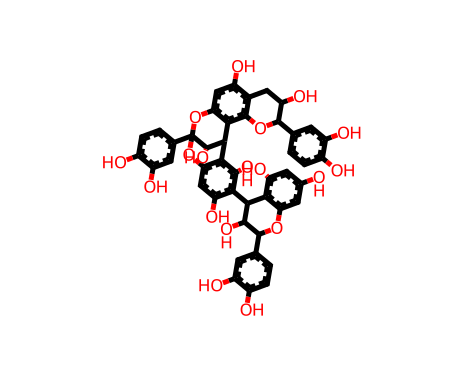 Oc1cc(O)c2c(c1)OC(c1ccc(O)c(O)c1)C(O)C2c1c(O)cc2c(c1O)C1c3c(cc(O)c4c3OC(c3ccc(O)c(O)c3)C(O)C4)OC(c3ccc(O)c(O)c3)(O2)C1O